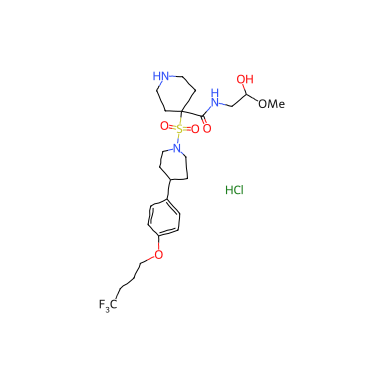 COC(O)CNC(=O)C1(S(=O)(=O)N2CCC(c3ccc(OCCCC(F)(F)F)cc3)CC2)CCNCC1.Cl